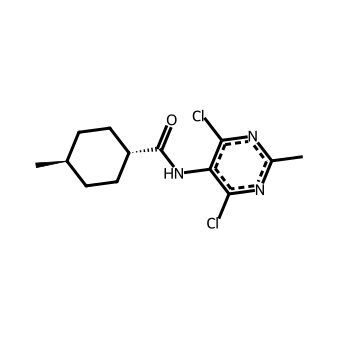 Cc1nc(Cl)c(NC(=O)[C@H]2CC[C@H](C)CC2)c(Cl)n1